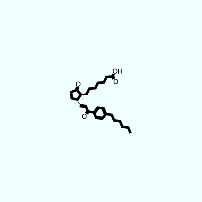 CCCCCCc1ccc(C(=O)C=C[C@@H]2CCC(=O)[C@H]2CCCCCCC(=O)O)cc1